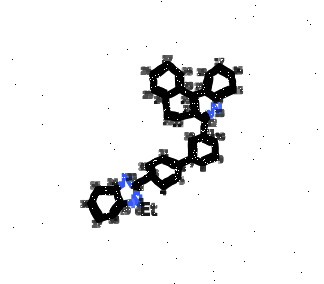 CCn1c(-c2ccc(-c3cccc(-c4nc5ccccc5c5c4ccc4ccccc45)c3)cc2)nc2ccccc21